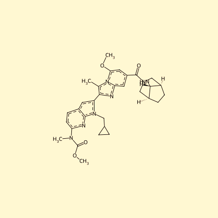 COC(=O)N(C)c1ccc2cc(-c3nc4cc(C(=O)N5C[C@H]6CC[C@@H](C5)[C@@H]6N)cc(OC)n4c3C)n(CC3CC3)c2n1